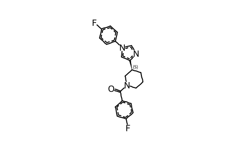 O=C(c1ccc(F)cc1)N1CCC[C@H](c2cn(-c3ccc(F)cc3)cn2)C1